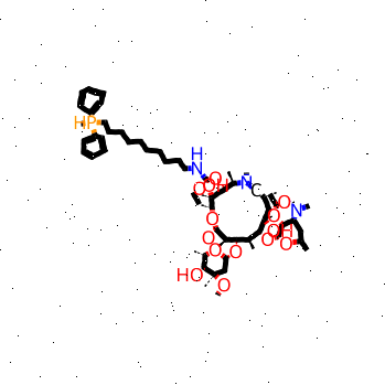 CC[C@H]1OC(=O)[C@H](C)[C@@H](O[C@H]2C[C@@](C)(OC)[C@@H](O)[C@H](C)O2)[C@H](C)[C@@H](OC2OC(C)CC(N(C)C)C2OC(C)=O)[C@](C)(O)C[C@@H](C)CN(C)[C@H](C)[C@@H](OC(=O)NCCCCCCCCCC[PH](C)(c2ccccc2)c2ccccc2)[C@]1(C)O